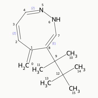 C=C1/C=C\C=N/N/C=C\1C(C)(C)C(C)(C)C